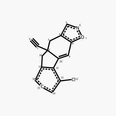 C#CC12Cc3cnoc3C=C1c1c(Cl)cccc1C2